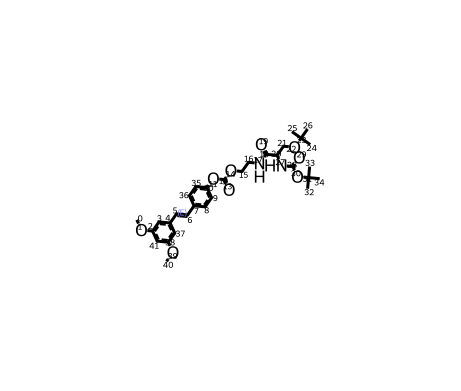 COc1cc(/C=C/c2ccc(OC(=O)OCCNC(=O)C(COC(C)(C)C)NC(=O)OC(C)(C)C)cc2)cc(OC)c1